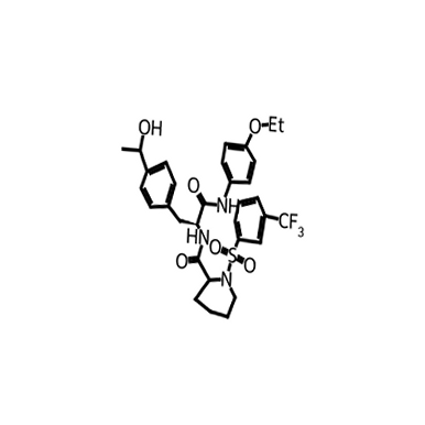 CCOc1ccc(NC(=O)[C@H](Cc2ccc(C(C)O)cc2)NC(=O)C2CCCCN2S(=O)(=O)c2cccc(C(F)(F)F)c2)cc1